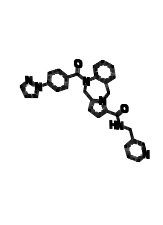 O=C(NCc1cccnc1)c1ccc2n1Cc1ccccc1N(C(=O)c1ccc(-n3cccn3)cc1)C2